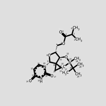 CC(C)C(=O)OC[C@H]1O[C@@H](n2ccc(=O)[nH]c2=O)C2(CC2)[C@@H]1O[Si](C)(C)C(C)(C)C